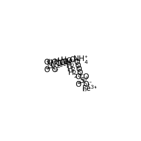 O.O.O.O.O.O.O.O.O.O=S(=O)([O-])[O-].O=S(=O)([O-])[O-].[Fe+3].[NH4+]